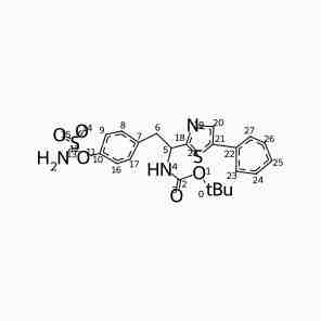 CC(C)(C)OC(=O)NC(Cc1ccc(OS(N)(=O)=O)cc1)c1ncc(-c2ccccc2)s1